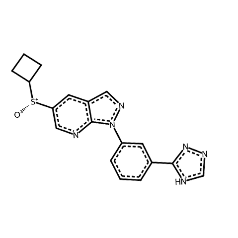 [O-][S@@+](c1cnc2c(cnn2-c2cccc(-c3nnc[nH]3)c2)c1)C1CCC1